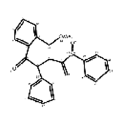 C=C(CC(C(=O)c1ccccc1COC)c1ccccc1)[S+]([O-])c1ccccc1